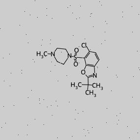 CN1CCN(S(=O)(=O)c2c(Cl)ccc3nc(C(C)(C)C)oc23)CC1